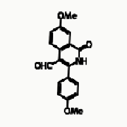 COc1ccc(-c2[nH]c(=O)c3cc(OC)ccc3c2C=O)cc1